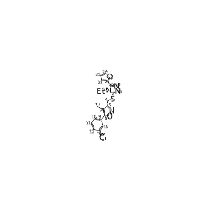 CCn1c(SCc2noc(-c3cccc(Cl)c3)c2C)nnc1-c1ccco1